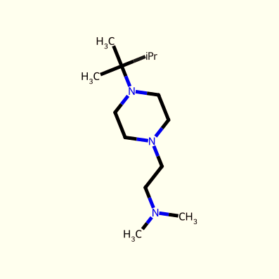 CC(C)C(C)(C)N1CCN(CCN(C)C)CC1